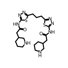 O=C(CC1CCCNC1)Nc1nnc(CCCc2nnc(NC(=O)CC3CCCNC3)s2)s1